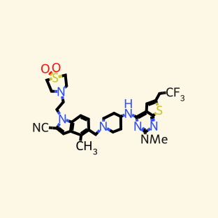 CNc1nc(NC2CCN(Cc3ccc4c(cc(C#N)n4CCN4CCS(=O)(=O)CC4)c3C)CC2)c2cc(CC(F)(F)F)sc2n1